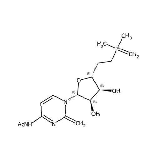 C=C1N=C(NC(C)=O)C=CN1[C@@H]1O[C@H](CCP(=C)(C)C)[C@@H](O)[C@H]1O